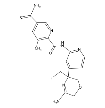 Cc1cc(C(N)=S)cnc1C(=O)Nc1cc(C2(CF)COCC(N)=N2)ccn1